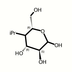 CC(C)C1[C@H](CO)OC(O)[C@@H](O)[C@@H]1O